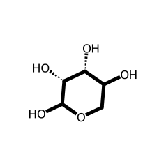 OC1COC(O)[C@H](O)[C@@H]1O